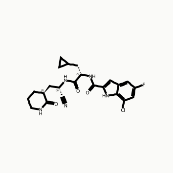 N#C[C@H](C[C@@H]1CCCNC1=O)NC(=O)[C@H](CC1CC1)NC(=O)c1cc2cc(F)cc(Cl)c2[nH]1